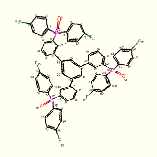 O=P(c1ccc(F)cc1)(c1ccc(F)cc1)c1cccc(-c2cc(-c3cccc(P(=O)(c4ccc(F)cc4)c4ccc(F)cc4)c3)cc(-c3cccc(P(=O)(c4ccc(F)cc4)c4ccc(F)cc4)c3)c2)c1